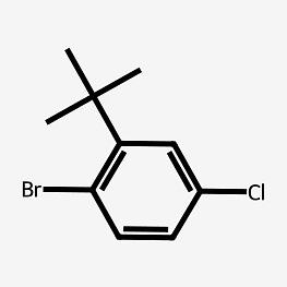 CC(C)(C)c1cc(Cl)ccc1Br